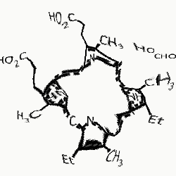 CCC1=C(C)c2cc3[nH]c(cc4nc(cc5[nH]c(cc1n2)c(C)c5CCC(=O)O)C(CCC(=O)O)=C4C)c(C)c3CC.O=CO